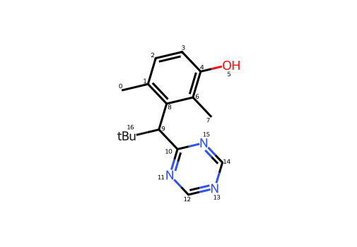 Cc1ccc(O)c(C)c1C(c1ncncn1)C(C)(C)C